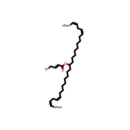 CCCCC/C=C\C/C=C\CCCCCCCCC(CCCCCCCC/C=C\C/C=C\CCCCC)OC(=O)/C=C/CBr